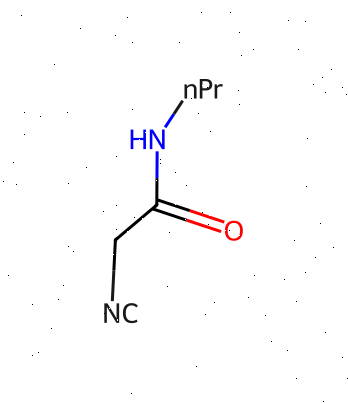 [C-]#[N+]CC(=O)NCCC